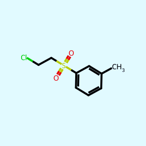 Cc1cccc(S(=O)(=O)CCCl)c1